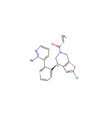 C=CC(=O)N1Cc2sc(Cl)cc2[C@@H](c2ccccc2-c2cccnc2CC)C1